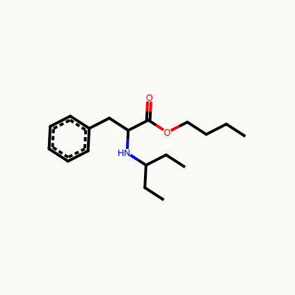 CCCCOC(=O)C(Cc1ccccc1)NC(CC)CC